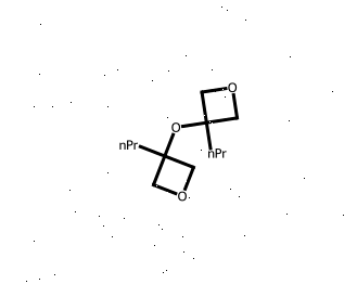 CCCC1(OC2(CCC)COC2)COC1